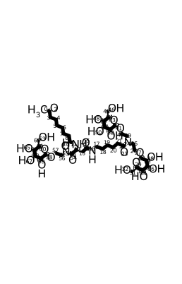 CC(=O)CCCCCCC(=O)N[C@@H](CC(=O)NCCCCCC(=O)N(CCO[C@H]1O[C@H](CO)[C@@H](O)[C@H](O)[C@@H]1O)CCO[C@H]1O[C@H](CO)[C@@H](O)[C@H](O)[C@@H]1O)C(=O)NCCO[C@H]1O[C@H](CO)[C@@H](O)[C@H](O)[C@@H]1O